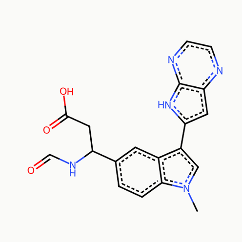 Cn1cc(-c2cc3nccnc3[nH]2)c2cc(C(CC(=O)O)NC=O)ccc21